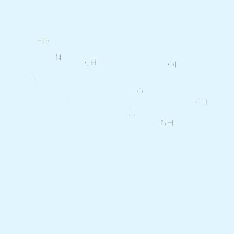 CC(NC(=O)c1cccc(/C=C\CCCC(=O)N(C)C)c1)C(=O)O